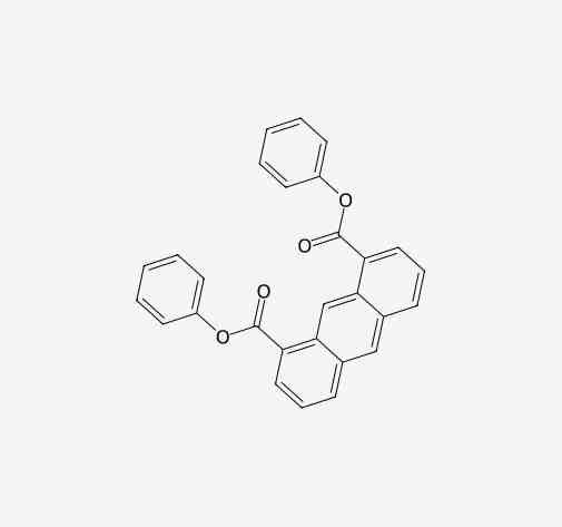 O=C(Oc1ccccc1)c1cccc2cc3cccc(C(=O)Oc4ccccc4)c3cc12